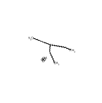 CCCCCCCCCCCCCCCCCC[S+](CCCCCCCCCCCCCCCCCC)CCCCCCCCCCCCCCCCCC.O=S(=O)([O-])O